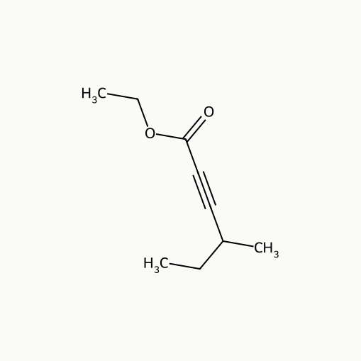 CCOC(=O)C#CC(C)CC